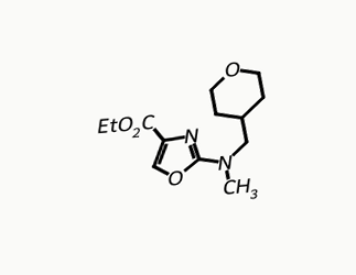 CCOC(=O)c1coc(N(C)CC2CCOCC2)n1